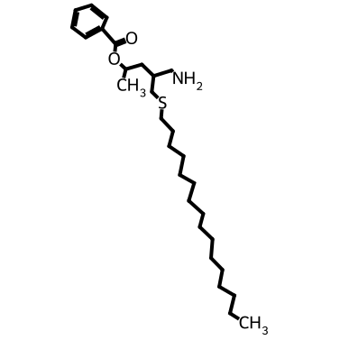 CCCCCCCCCCCCCCCCSCC(CN)CC(C)OC(=O)c1ccccc1